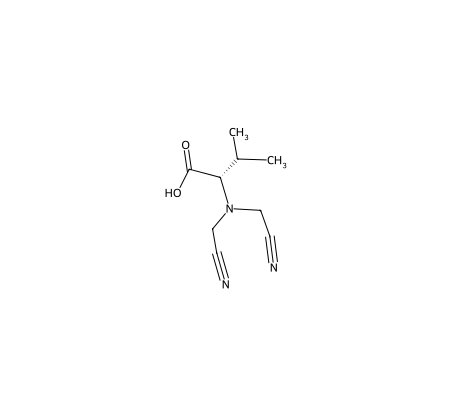 CC(C)[C@@H](C(=O)O)N(CC#N)CC#N